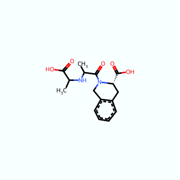 CC(NC(C)C(=O)N1Cc2ccccc2C[C@H]1C(=O)O)C(=O)O